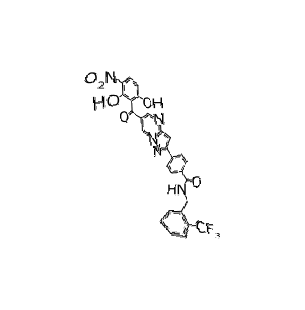 O=C(NCc1ccccc1C(F)(F)F)c1ccc(-c2cc3ncc(C(=O)c4c(O)ccc([N+](=O)[O-])c4O)cn3n2)cc1